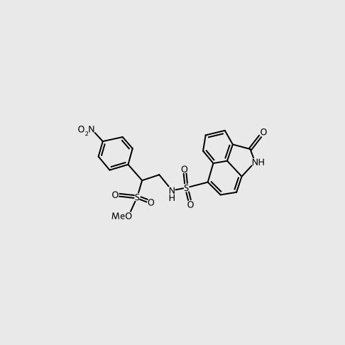 COS(=O)(=O)C(CNS(=O)(=O)c1ccc2c3c(cccc13)C(=O)N2)c1ccc([N+](=O)[O-])cc1